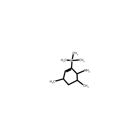 CC1C=C([Si](C)(C)C)C(N)C(C)C1